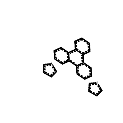 c1ccc2c(c1)c1ccccc1c1ccccc21.c1ccsc1.c1ccsc1